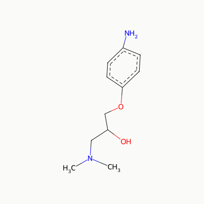 CN(C)CC(O)COc1ccc(N)cc1